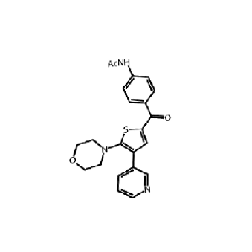 CC(=O)Nc1ccc(C(=O)c2cc(-c3cccnc3)c(N3CCOCC3)s2)cc1